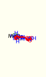 CCc1cc(Nc2ncc(Cl)c(Nc3ccc4nccnc4c3NS(C)(=O)=O)n2)c(OC)cc1N1CCC(N2CCN(CCCCCNC(=O)COc3cccc4c3CN(C3CCC(=O)NC3=O)C4=O)CC2)CC1